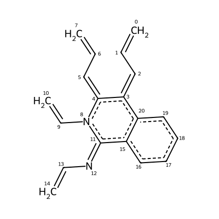 C=C/C=c1\c(=C/C=C)n(C=C)/c(=N\C=C)c2ccccc12